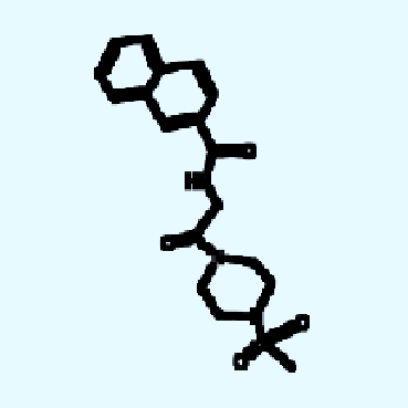 CS(=O)(=O)N1CCN(C(=O)CNC(=O)c2ccc3ccccc3c2)CC1